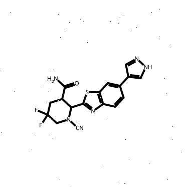 N#CN1CC(F)(F)CC(C(N)=O)C1c1nc2ccc(-c3cn[nH]c3)cc2s1